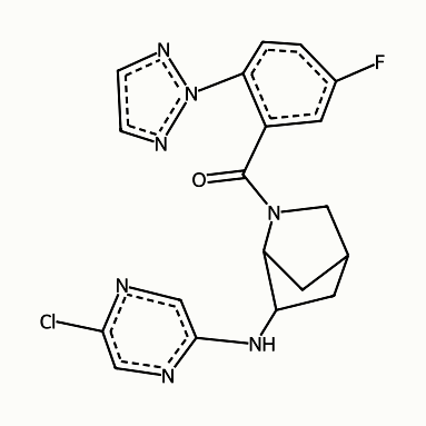 O=C(c1cc(F)ccc1-n1nccn1)N1CC2CC(Nc3cnc(Cl)cn3)C1C2